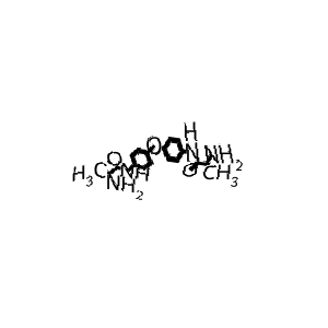 CC(N)C(=O)Nc1ccc(Oc2ccc(NC(=O)C(C)N)cc2)cc1